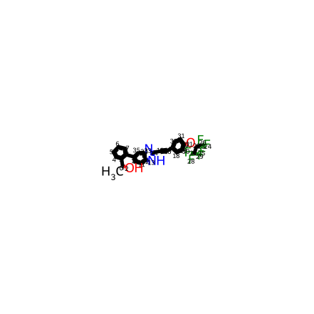 CC(O)c1ccccc1-c1ccc2[nH]c(C#Cc3ccc(OC(C(F)(F)F)C(F)(F)F)cc3)nc2c1